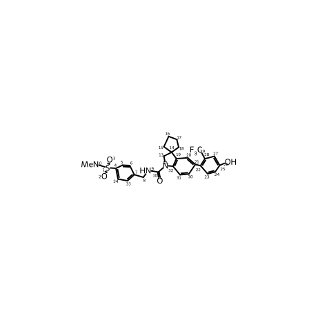 CNS(=O)(=O)c1ccc(CNC(=O)N2CC3(CCCC3)c3cc(-c4ccc(O)cc4C(F)(F)F)ccc32)cc1